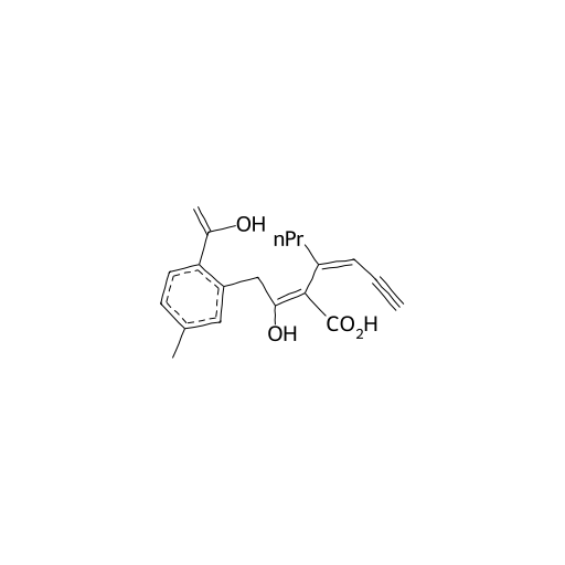 C#C/C=C(CCC)\C(C(=O)O)=C(\O)Cc1cc(C)ccc1C(=C)O